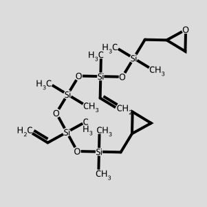 C=C[Si](C)(O[Si](C)(C)CC1CC1)O[Si](C)(C)O[Si](C)(C=C)O[Si](C)(C)CC1CO1